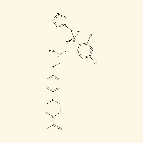 CC(=O)N1CCN(c2ccc(OC[C@H](O)CO[C@]3(c4ccc(Cl)cc4Cl)CC3n3ccnc3)cc2)CC1